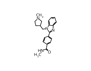 CNC(=O)c1ccc(-c2nc3ccccc3n2CC2CCN(C)C2)cc1